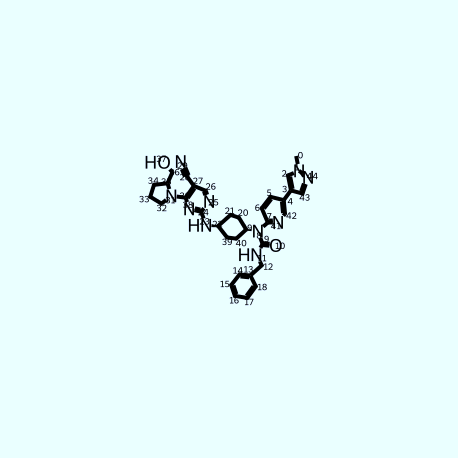 Cn1cc(-c2ccc(N(C(=O)NCc3ccccc3)[C@H]3CC[C@H](Nc4ncc(C#N)c(N5CCCC5CO)n4)CC3)nc2)cn1